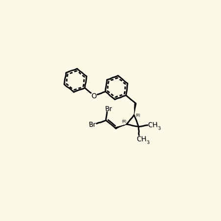 CC1(C)[C@H](Cc2cccc(Oc3ccccc3)c2)[C@@H]1C=C(Br)Br